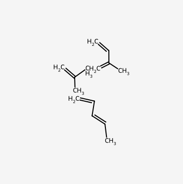 C=C(C)C.C=CC(=C)C.C=CC=CC